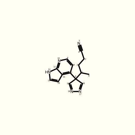 CC(CCC#N)C1(c2ccnc3[nH]ccc23)C=NN=C1